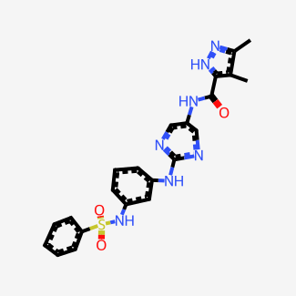 Cc1n[nH]c(C(=O)Nc2cnc(Nc3cccc(NS(=O)(=O)c4ccccc4)c3)nc2)c1C